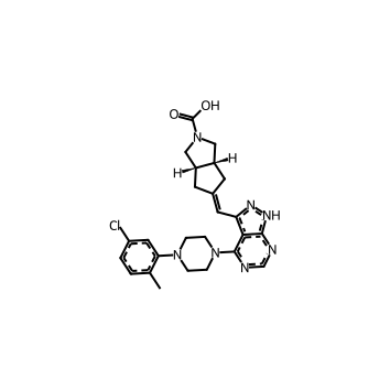 Cc1ccc(Cl)cc1N1CCN(c2ncnc3[nH]nc(/C=C4/C[C@@H]5CN(C(=O)O)C[C@@H]5C4)c23)CC1